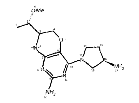 CO[C@@H](C)C1COc2c(nc(N)nc2N2CC[C@@H](N)C2)N1